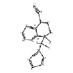 CC(C)(c1ccccc1)C1(C)CCC(C#N)c2ccccc21